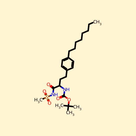 CCCCCCCCc1ccc(CCC(NC(=O)OC(C)(C)C)C(=O)NS(C)(=O)=O)cc1